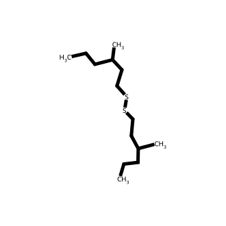 CCCC(C)CCSSCCC(C)CCC